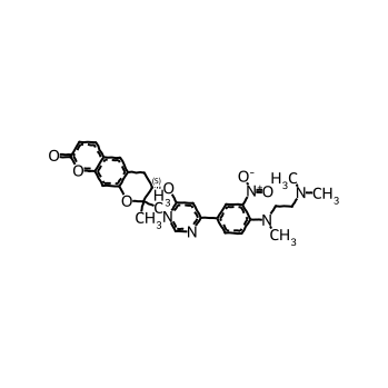 CN(C)CCN(C)c1ccc(-c2cc(O[C@H]3Cc4cc5ccc(=O)oc5cc4OC3(C)C)ncn2)cc1[N+](=O)[O-]